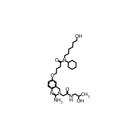 CC(O)CNC(=O)CN1Cc2cc(OCCCC(=O)N(CCCCCCO)C3CCCCC3)ccc2N=C1N